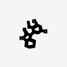 COc1c(Cl)cc(Cl)cc1-n1c(=O)[nH]c2ccccc21